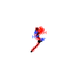 CCCOCCOCCOCCOCc1ccc(C(=O)OCc2cn([C@H]3CC(OC(=O)c4ccccc4C(C)N=[N+]=[N-])[C@@H](COP(=O)(O)OP(=O)(O)OP(=O)(O)O)O3)c(=O)[nH]c2=O)c(C(C)N=[N+]=[N-])c1